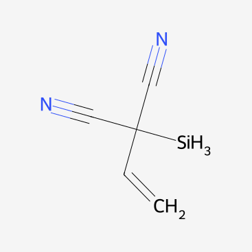 C=CC([SiH3])(C#N)C#N